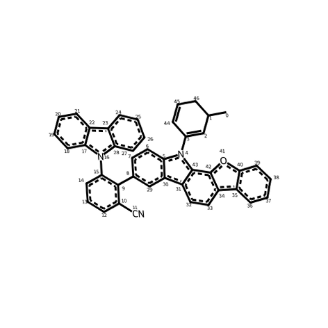 CC1C=C(n2c3ccc(-c4c(C#N)cccc4-n4c5ccccc5c5ccccc54)cc3c3ccc4c5ccccc5oc4c32)C=CC1